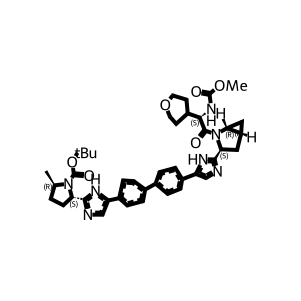 COC(=O)N[C@H](C(=O)N1[C@@H]2C[C@@H]2C[C@H]1c1ncc(-c2ccc(-c3ccc(-c4cnc([C@@H]5CC[C@@H](C)N5C(=O)OC(C)(C)C)[nH]4)cc3)cc2)[nH]1)C1CCOCC1